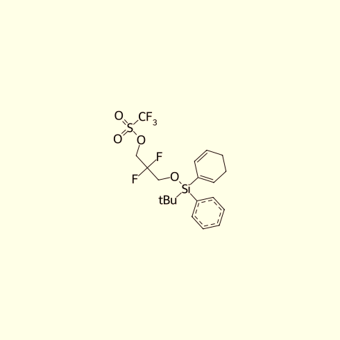 CC(C)(C)[Si](OCC(F)(F)COS(=O)(=O)C(F)(F)F)(C1=CCCC=C1)c1ccccc1